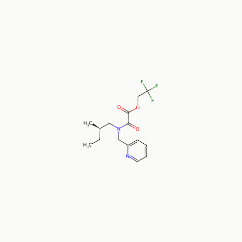 CC[C@@H](C)CN(Cc1ccccn1)C(=O)C(=O)OCC(F)(F)F